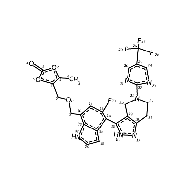 Cc1oc(=O)oc1COCc1cc(F)c(-c2[nH]nc3c2CN(c2ncc(C(F)(F)F)cn2)CC3)c2cc[nH]c12